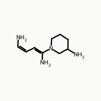 N/C=C\C=C(/N)N1CCCC(N)C1